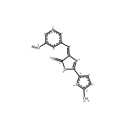 COc1cncc(C=C2N=C(c3ccc(C)s3)OC2=O)c1